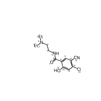 CCN(CC)CCNC(=O)c1cc(C#N)c(Cl)cc1O